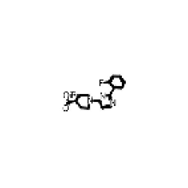 CC(C)COC(=O)C1CCN(c2ccnc(-c3ccccc3F)n2)CC1